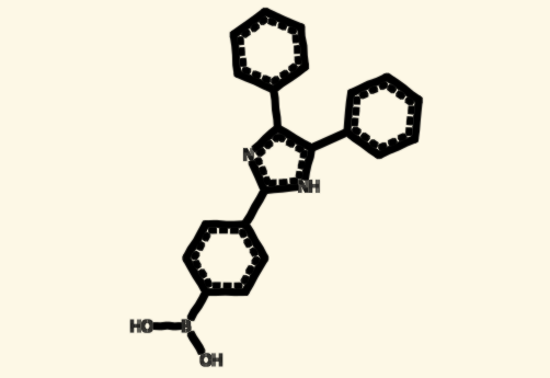 OB(O)c1ccc(-c2nc(-c3ccccc3)c(-c3ccccc3)[nH]2)cc1